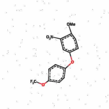 COc1ccc(Oc2ccc(OC(F)(F)F)cc2)cc1[N+](=O)[O-]